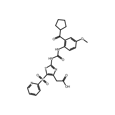 COc1ccc(NC(=O)Nc2nc(CC(=O)O)c(S(=O)(=O)c3ccccn3)s2)c(C(=O)C2CCCC2)c1